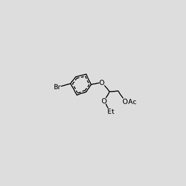 CCOC(COC(C)=O)Oc1ccc(Br)cc1